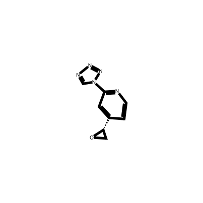 c1cc([C@@H]2CO2)cc(-n2cnnn2)n1